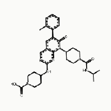 Cc1ccccc1-c1cc2cnc(NC3CCN(C(=O)O)CC3)nc2n(C2CCN(C(=O)NC(C)C)CC2)c1=O